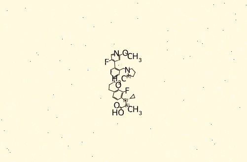 COc1cc(-c2ccc(C3CCc4ccc([C@H](C5CC5)[C@H](C)C(=O)O)c(F)c4O3)cc2CN2CCC[C@H]2C)c(F)cn1